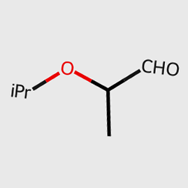 CC(C)OC(C)C=O